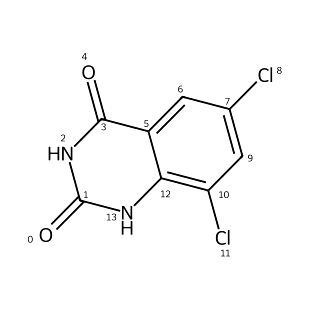 O=c1[nH]c(=O)c2cc(Cl)cc(Cl)c2[nH]1